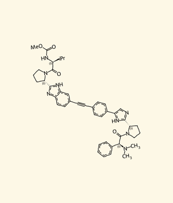 COC(=O)N[C@H](C(=O)N1CCC[C@H]1c1nc2ccc(C#Cc3ccc(-c4cnc([C@@H]5CCCN5C(=O)[C@H](c5ccccc5)N(C)C)[nH]4)cc3)cc2[nH]1)C(C)C